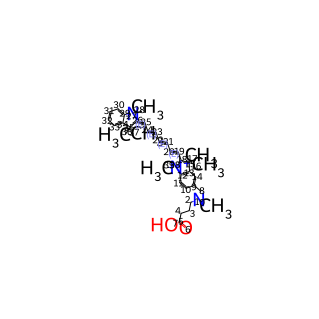 CN(CCCC(=O)O)Cc1ccc2c(c1)C(C)(C)C(/C=C/C=C/C=C/C=C1/N(C)c3ccccc3C1(C)C)=[N+]2C